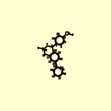 COc1ccc(C2CN(C)Cc3cc(-c4ccccn4)ccc32)cc1